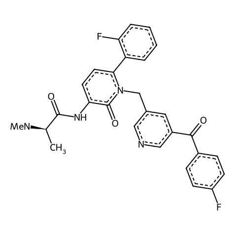 CN[C@H](C)C(=O)Nc1ccc(-c2ccccc2F)n(Cc2cncc(C(=O)c3ccc(F)cc3)c2)c1=O